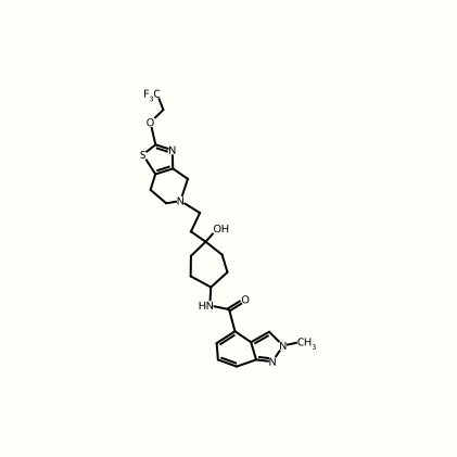 Cn1cc2c(C(=O)NC3CCC(O)(CCN4CCc5sc(OCC(F)(F)F)nc5C4)CC3)cccc2n1